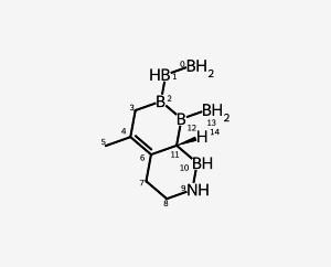 BBB1CC(C)=C2CCNB[C@H]2B1B